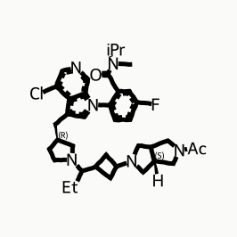 CCC(C1CC(N2CC3CN(C(C)=O)C[C@@H]3C2)C1)N1CC[C@@H](Cc2cn(-c3ccc(F)cc3C(=O)N(C)C(C)C)c3cncc(Cl)c23)C1